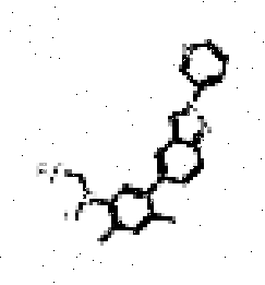 Cc1cc(C)c([S+]([O-])CC(F)(F)F)cc1-c1ccc2nn(-c3cccnc3)cc2c1